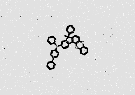 CC1(c2ccccc2)c2cc(N(c3ccccc3)c3ccc(-c4ccccc4)cc3)ccc2-c2c1ccc1c2Oc2ccccc2O1